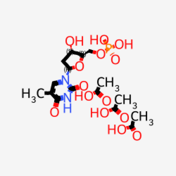 CC(=O)O.CC(=O)O.CC(=O)O.Cc1cn([C@H]2C[C@H](O)[C@@H](COP(=O)(O)O)O2)c(=O)[nH]c1=O